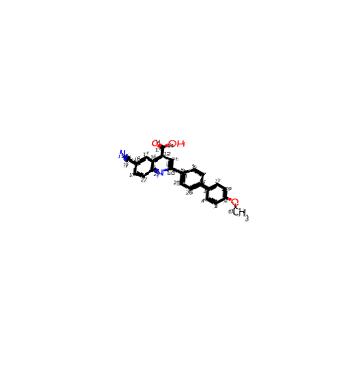 COc1ccc(-c2ccc(-c3cc(C(=O)O)c4cc(C#N)ccc4n3)cc2)cc1